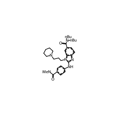 CCCCN(CCCC)C(=O)c1ccc2nc(Nc3ccc(C(=O)NC)cc3)n(CCCN3CCCCC3)c2c1